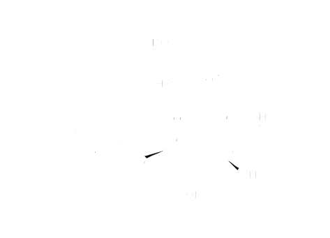 [O]=[V](=[O])[O]C[C@H]1O[C@H](OP(=O)(O)O)[C@H](O)[C@@H](O)[C@@H]1O